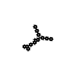 CC1(C)c2cc(-c3ccc(-c4cc5ccccc5c5ccccc45)cc3)ccc2-c2ccc(N(c3ccc(-c4ccc(-c5ccccc5)cc4)cc3)c3ccc(-c4ccc(-c5ccccc5)cc4)cc3)cc21